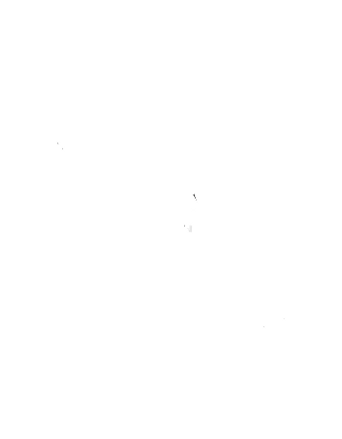 C[C@H](NS(=O)(=O)CCCCCN)c1cc(F)cc(OCC2CC2)c1